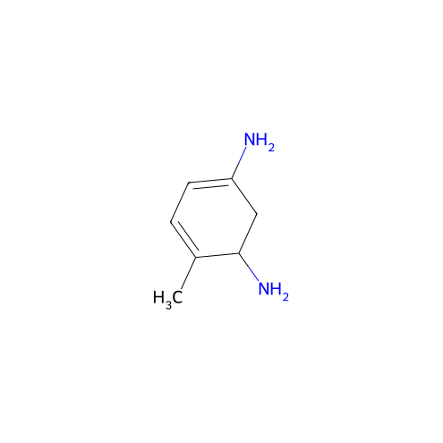 CC1=CC=C(N)CC1N